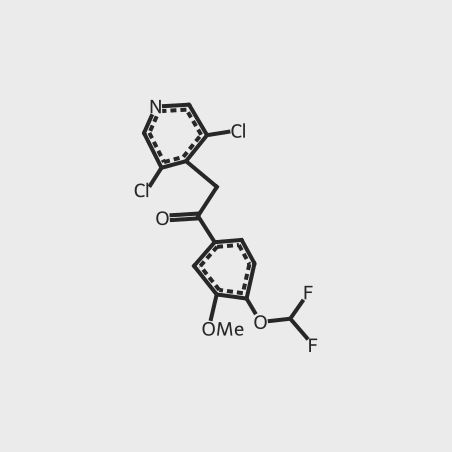 COc1cc(C(=O)Cc2c(Cl)cncc2Cl)ccc1OC(F)F